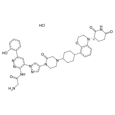 Cl.NCC(=O)Nc1nnc(-c2ccccc2O)cc1-n1cc(N2CCN(C3CCC(c4cccc5c4OCCN5[C@H]4CCC(=O)NC4=O)CC3)CC2=O)cn1